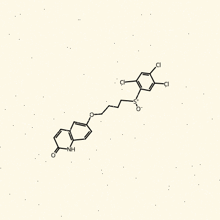 O=c1ccc2cc(OCCCC[S+]([O-])c3cc(Cl)c(Cl)cc3Cl)ccc2[nH]1